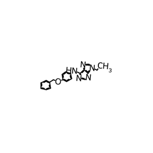 CCn1cnc2c(Nc3ccc(OCc4ccccc4)cc3)ncnc21